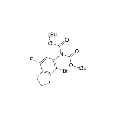 CC(C)(C)OC(=O)N(C(=O)OC(C)(C)C)c1cc(F)c2c(c1Br)CCC2